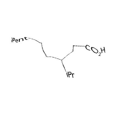 CCCC(C)CCC(CC(=O)O)C(C)C